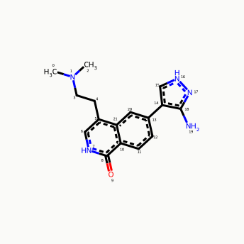 CN(C)CCc1c[nH]c(=O)c2ccc(-c3c[nH]nc3N)cc12